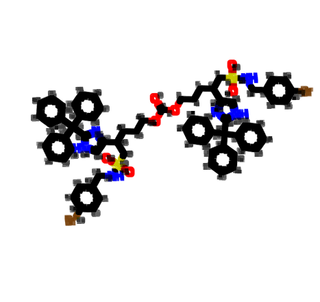 O=C(OCCCC(CS(=O)(=O)NCc1ccc(Br)cc1)c1c[nH]c(C(c2ccccc2)(c2ccccc2)c2ccccc2)n1)OCCCC(CS(=O)(=O)NCc1ccc(Br)cc1)c1c[nH]c(C(c2ccccc2)(c2ccccc2)c2ccccc2)n1